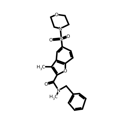 Cc1c(C(=O)N(C)Cc2ccccc2)oc2ccc(S(=O)(=O)N3CCOCC3)cc12